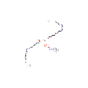 CCCCC/C=C\C/C=C\CCCCCCCC(=O)O[C@H](COC(=O)CCCCCCC/C=C\CCCCCCCCC)COP(=O)([O-])OCC[N+](C)(C)C